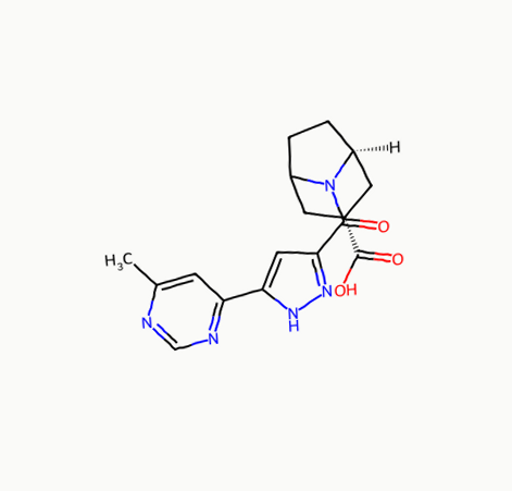 Cc1cc(-c2cc(C(=O)N3C4CC[C@H]3C[C@H](C(=O)O)C4)n[nH]2)ncn1